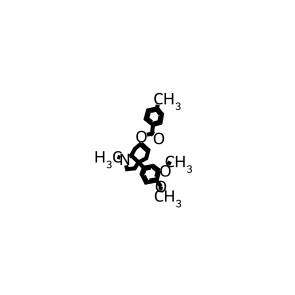 COc1ccc(C23CC=C(OC(=O)c4ccc(C)cc4)CC2N(C)CC3)cc1OC